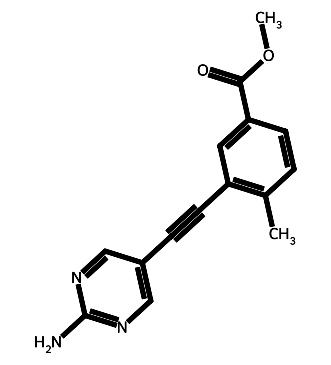 COC(=O)c1ccc(C)c(C#Cc2cnc(N)nc2)c1